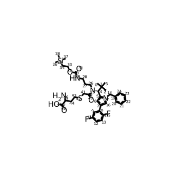 CC(C)(C)[C@H](c1cc(-c2cc(F)ccc2F)cn1Cc1ccccc1)N(CCCNC(=O)OCC[Si](C)(C)C)C(=O)CSCCC(N)C(=O)O